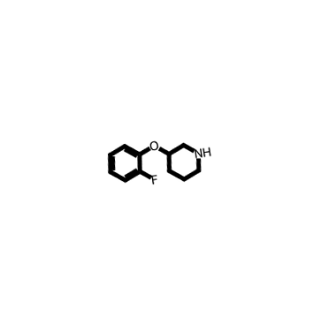 Fc1ccccc1OC1CCCNC1